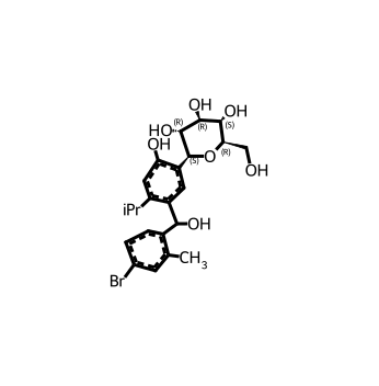 Cc1cc(Br)ccc1C(O)c1cc([C@@H]2O[C@H](CO)[C@@H](O)[C@H](O)[C@H]2O)c(O)cc1C(C)C